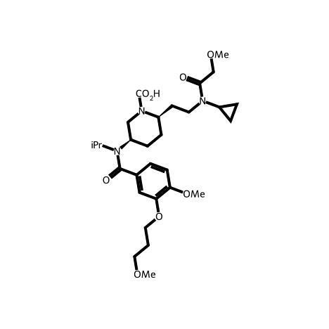 COCCCOc1cc(C(=O)N(C(C)C)[C@@H]2CC[C@H](CCN(C(=O)COC)C3CC3)N(C(=O)O)C2)ccc1OC